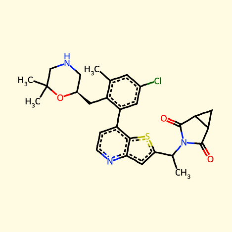 Cc1cc(Cl)cc(-c2ccnc3cc(C(C)N4C(=O)C5CC5C4=O)sc23)c1C[C@@H]1CNCC(C)(C)O1